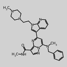 CNC(=O)c1cnn2c(N(C)Cc3ccccc3)cc(-c3cn(CCN4CCN(C)CC4)c4ncccc34)nc12